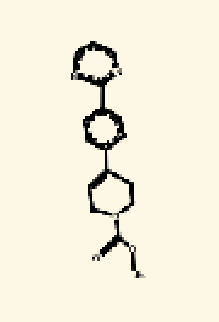 CC(C)(C)OC(=O)N1CC=C(c2ccc(-c3ncccn3)cc2)CC1